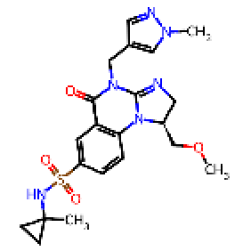 COC[C@@H]1CN=C2N(Cc3cnn(C)c3)C(=O)c3cc(S(=O)(=O)NC4(C)CC4)ccc3N21